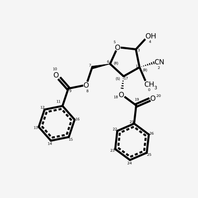 C[C@]1(C#N)C(O)O[C@H](COC(=O)c2ccccc2)[C@H]1OC(=O)c1ccccc1